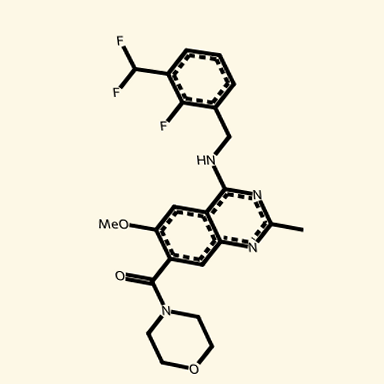 COc1cc2c(NCc3cccc(C(F)F)c3F)nc(C)nc2cc1C(=O)N1CCOCC1